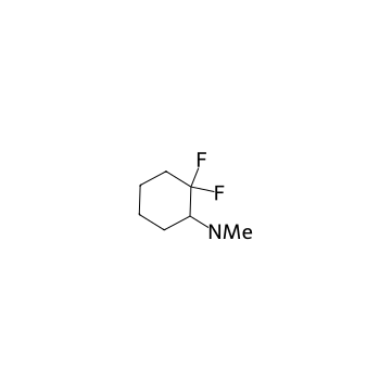 CNC1CCCCC1(F)F